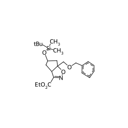 CCOC(=O)C1=NOC2(COCc3ccccc3)CC(O[Si](C)(C)C(C)(C)C)CC12